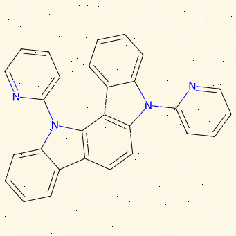 c1ccc(-n2c3ccccc3c3c2ccc2c4ccccc4n(-c4ccccn4)c23)nc1